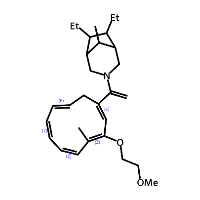 C=C(/C1=C/C(OCCOC)=C(C)/C=C\C=C/C=C/C1)N1CC2C(C)C(C1)C(CC)C2CC